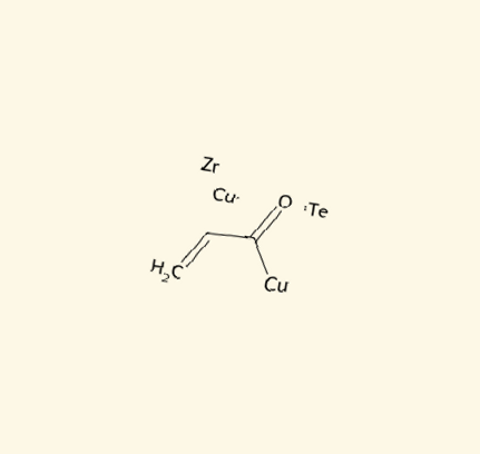 C=C[C](=O)[Cu].[Cu].[Te].[Zr]